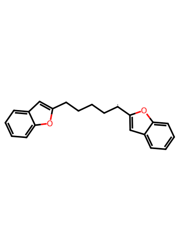 [CH](CCCCc1cc2ccccc2o1)c1cc2ccccc2o1